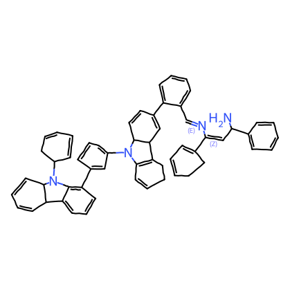 NC(/C=C(\N=C\c1ccccc1C1=CC2C3=C(C=CCC3)N(c3cccc(-c4cccc5c4N(C4C=CC=CC4)C4C=CC=CC54)c3)C2C=C1)C1=CC=CCC1)c1ccccc1